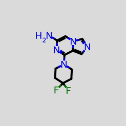 Nc1cn2cncc2c(N2CCC(F)(F)CC2)n1